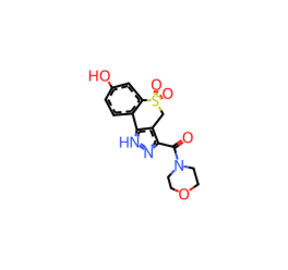 O=C(c1n[nH]c2c1CS(=O)(=O)c1cc(O)ccc1-2)N1CCOCC1